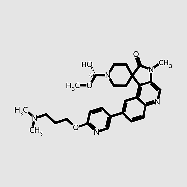 CO[C@H](O)N1CCC2(CC1)C(=O)N(C)c1cnc3ccc(-c4ccc(OCCCN(C)C)nc4)cc3c12